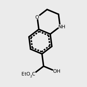 CCOC(=O)C(O)c1ccc2c(c1)NCCO2